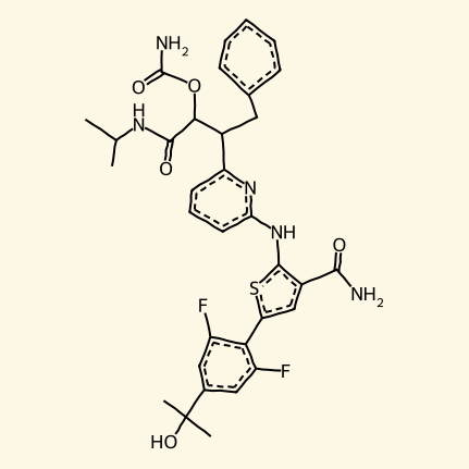 CC(C)NC(=O)C(OC(N)=O)C(Cc1ccccc1)c1cccc(Nc2sc(-c3c(F)cc(C(C)(C)O)cc3F)cc2C(N)=O)n1